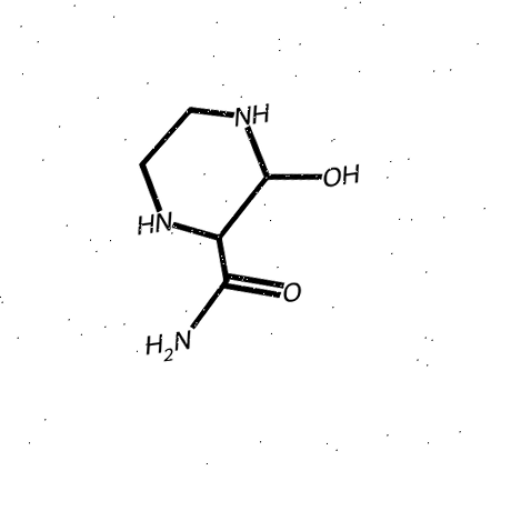 NC(=O)C1NCCNC1O